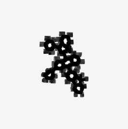 CC1(C)c2ccccc2-c2ccc(-c3c4ccccc4c(-c4cc(-c5ccccc5)c5ccccc5n4)c4ccc(-c5ccccc5)cc34)cc21